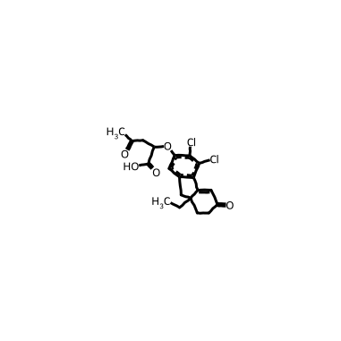 CCC12CCC(=O)C=C1c1c(cc(OC(CC(C)=O)C(=O)O)c(Cl)c1Cl)C2